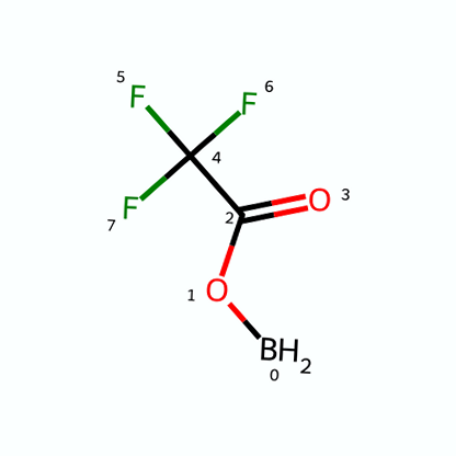 BOC(=O)C(F)(F)F